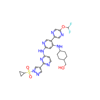 O=S(=O)(C1CC1)n1cc(-c2nccc(Nc3cc(NC4CCC(CO)CC4)c(-c4cnc(OC(F)F)cn4)cn3)n2)cn1